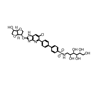 O=S(=O)(NC[C@H](O)[C@@H](O)[C@H](O)[C@H](O)CO)c1ccc(-c2ccc(-c3nc4nc(O[C@@H]5CO[C@H]6[C@@H]5OC[C@H]6O)[nH]c4cc3Cl)cc2)cc1